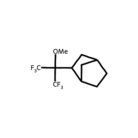 COC(C1CC2CCC1C2)(C(F)(F)F)C(F)(F)F